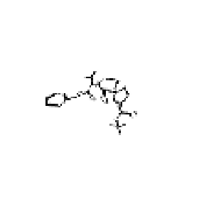 CC(C)C(C(=O)OCc1ccccc1)N1CC[C@]2(CCN(C(=O)OC(C)(C)C)C2)C1=O